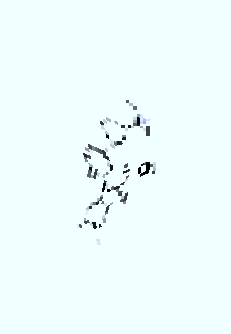 C/C=C(/I)C1CCN(c2ccnc3c2cc(C#N)c2nc4cc(C)c(C)cc4n23)C1